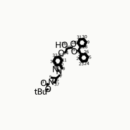 CC(C)(C)OC(=O)N1CC(Cn2cc3cc(OCC(O)C(=O)OC(c4ccccc4)c4ccccc4)ccc3n2)C1